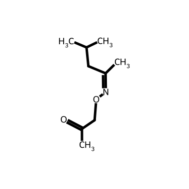 CC(=O)CON=C(C)CC(C)C